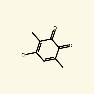 CC1=CC(Cl)=C(C)C(=O)C1=O